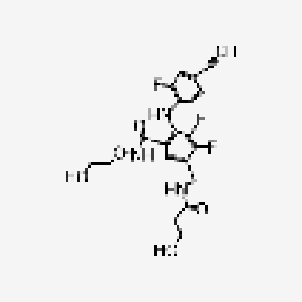 C#Cc1ccc(Nc2c(C(=O)NOCCO)cc(CNC(=O)CCO)c(F)c2F)c(F)c1